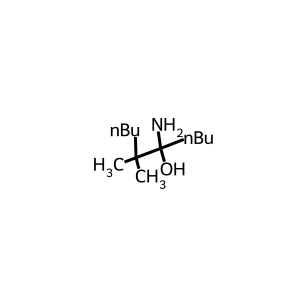 CCCCC(C)(C)C(N)(O)CCCC